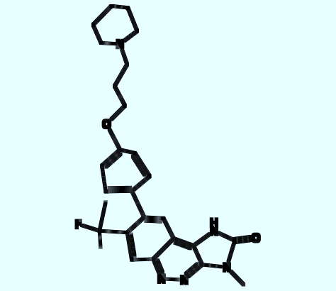 Cn1c(=O)[nH]c2c3cc(-c4ccc(OCCCN5CCCCC5)cc4)c(C(C)(C)F)cc3nnc21